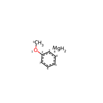 COc1cc[c]cc1.[MgH2]